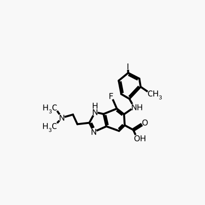 Cc1cc(I)ccc1Nc1c(C(=O)O)cc2nc(CCN(C)C)[nH]c2c1F